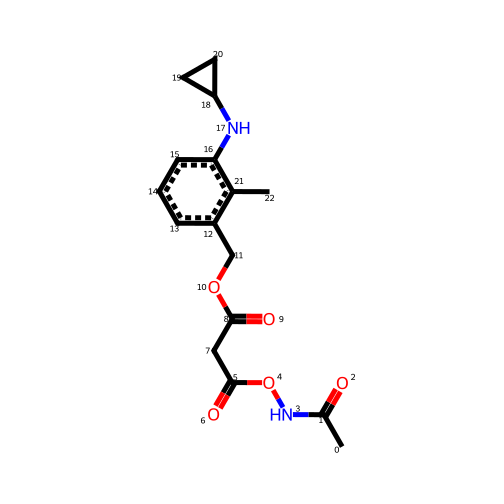 CC(=O)NOC(=O)CC(=O)OCc1cccc(NC2CC2)c1C